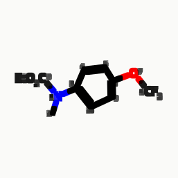 [CH2]COC(=O)N(C)c1ccc(OC(F)(F)F)cc1